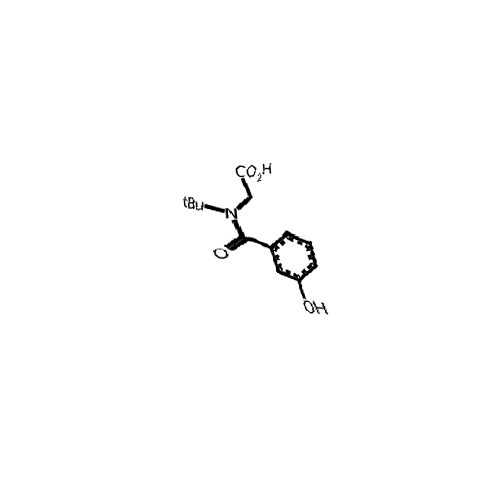 CC(C)(C)N(CC(=O)O)C(=O)c1cccc(O)c1